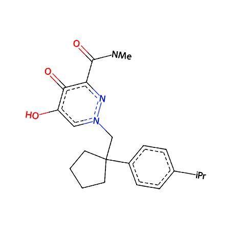 CNC(=O)c1nn(CC2(c3ccc(C(C)C)cc3)CCCC2)cc(O)c1=O